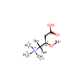 [2H]O[C@H](CC(=O)O)C([2H])([2H])[N+](C)(C)C